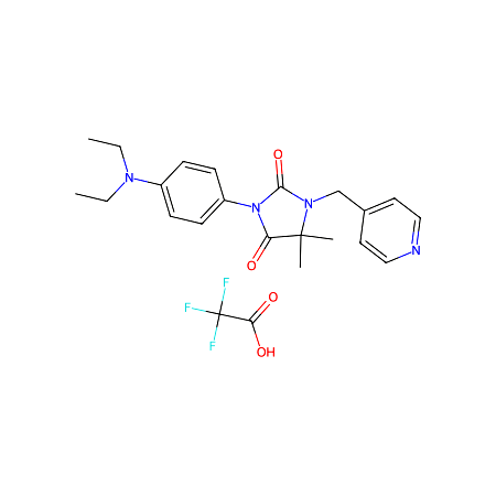 CCN(CC)c1ccc(N2C(=O)N(Cc3ccncc3)C(C)(C)C2=O)cc1.O=C(O)C(F)(F)F